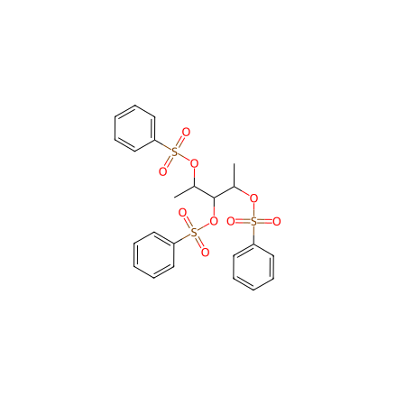 CC(OS(=O)(=O)c1ccccc1)C(OS(=O)(=O)c1ccccc1)C(C)OS(=O)(=O)c1ccccc1